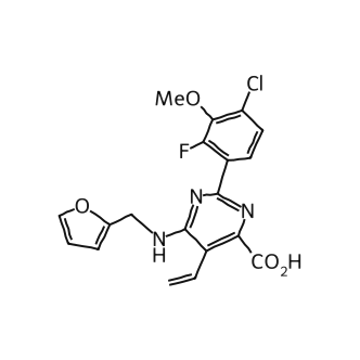 C=Cc1c(NCc2ccco2)nc(-c2ccc(Cl)c(OC)c2F)nc1C(=O)O